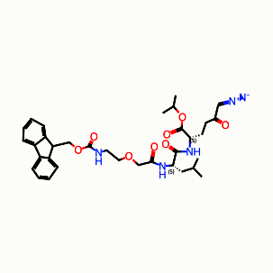 CC(C)C[C@H](NC(=O)COCCNC(=O)OCC1c2ccccc2-c2ccccc21)C(=O)N[C@@H](CCC(=O)C=[N+]=[N-])C(=O)OC(C)C